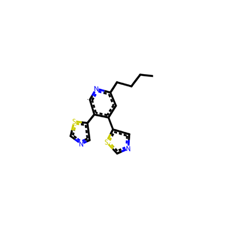 CCCCc1cc(-c2cncs2)c(-c2cncs2)[c]n1